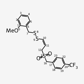 COc1ccccc1CSS/C=C\CS(=O)(=O)Cc1ccc(C(F)(F)F)cc1